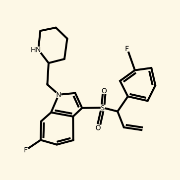 C=CC(c1cccc(F)c1)S(=O)(=O)c1cn(CC2CCCCN2)c2cc(F)ccc12